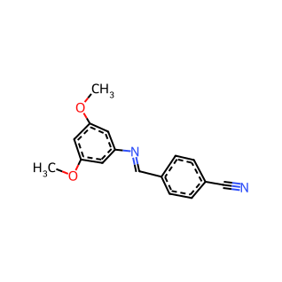 COc1cc(N=Cc2ccc(C#N)cc2)cc(OC)c1